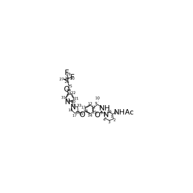 CC(=O)NC1CCCN(C(=O)N[C@@H](C)c2ccc(OC3CCN(c4ccc(OCC5CC5(F)F)cn4)C3)cc2)C1